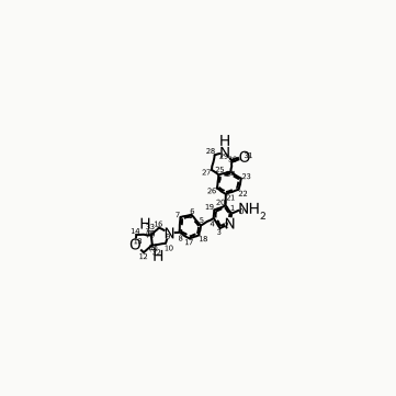 Nc1ncc(-c2ccc(N3C[C@H]4COC[C@H]4C3)cc2)cc1-c1ccc2c(c1)CCNC2=O